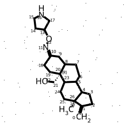 C=C1CCC2C3CCC4CC(=NOC5CCNC5)CC[C@]4(CO)C3CC[C@]12C